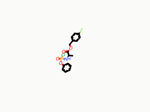 CC(NP(=O)(Cl)Oc1ccccc1)C(=O)OCc1ccc(F)cc1